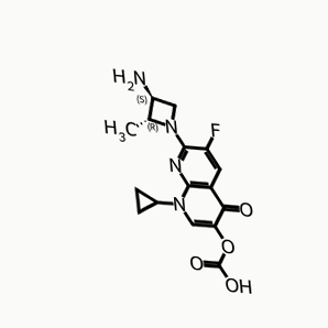 C[C@@H]1[C@@H](N)CN1c1nc2c(cc1F)c(=O)c(OC(=O)O)cn2C1CC1